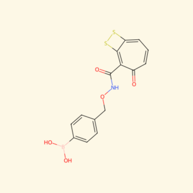 O=C(NOCc1ccc(B(O)O)cc1)c1c(=O)cccc2ssc12